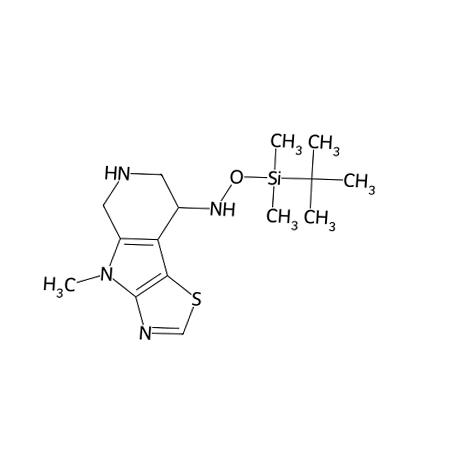 Cn1c2c(c3scnc31)C(NO[Si](C)(C)C(C)(C)C)CNC2